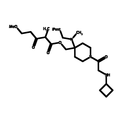 CCCC(C)CN(C)C1(COC(=O)C(C)C(=O)CCOC)CCN(C(=O)CNC2CCC2)CC1